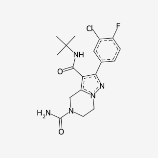 CC(C)(C)NC(=O)c1c(-c2ccc(F)c(Cl)c2)nn2c1CN(C(N)=O)CC2